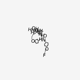 CC(C)C(C)[C@H]1C(=O)N[C@H](C(=O)NCc2ccc(OCCCF)cc2)Cc2ccc(cc2)OCCC[C@@H]1C(=O)NO